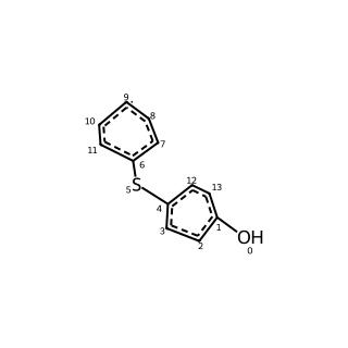 Oc1ccc(Sc2cc[c]cc2)cc1